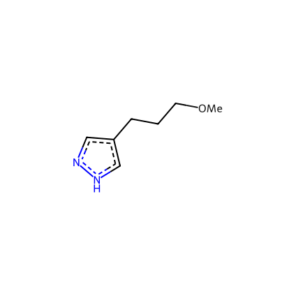 COCCCc1cn[nH]c1